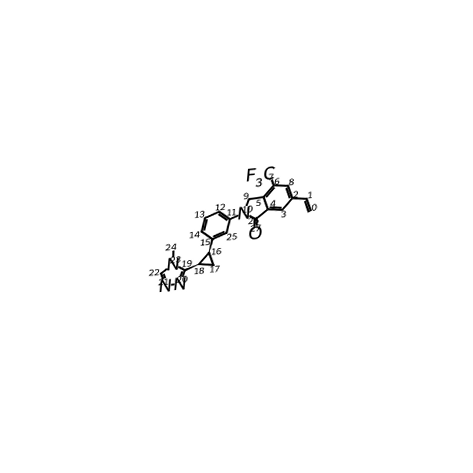 C=Cc1cc2c(c(C(F)(F)F)c1)CN(c1cccc([C@H]3C[C@H]3c3nncn3C)c1)C2=O